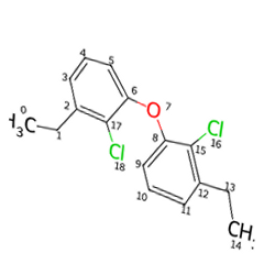 CCc1cccc(Oc2cccc(CC)c2Cl)c1Cl